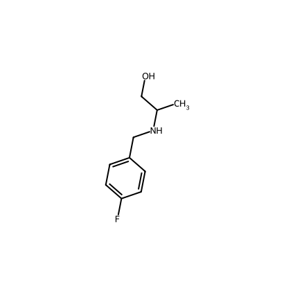 CC(CO)NCc1ccc(F)cc1